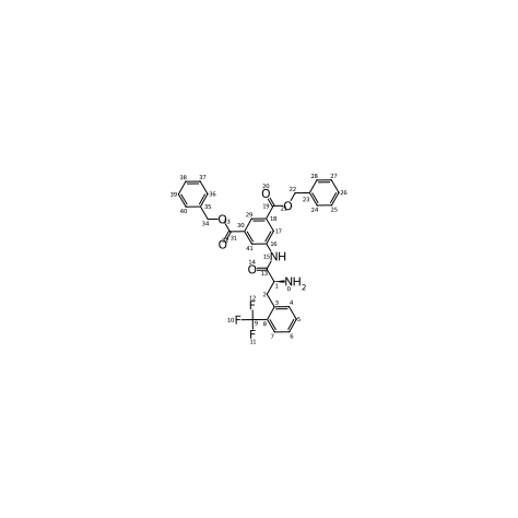 N[C@@H](Cc1ccccc1C(F)(F)F)C(=O)Nc1cc(C(=O)OCc2ccccc2)cc(C(=O)OCc2ccccc2)c1